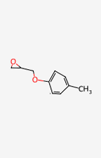 Cc1c[c]c(OCC2CO2)cc1